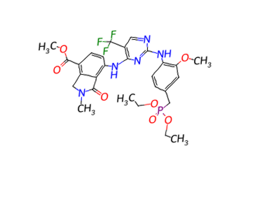 CCOP(=O)(Cc1ccc(Nc2ncc(C(F)(F)F)c(Nc3ccc(C(=O)OC)c4c3C(=O)N(C)C4)n2)c(OC)c1)OCC